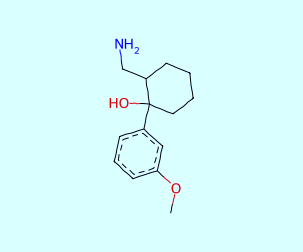 COc1cccc(C2(O)CCCCC2CN)c1